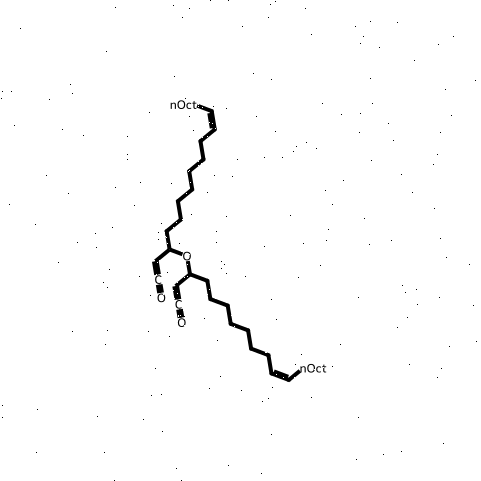 CCCCCCCC/C=C\CCCCCCCC(C=C=O)OC(C=C=O)CCCCCCC/C=C\CCCCCCCC